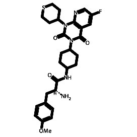 COc1ccc(C[C@@H](N)C(=O)NC2CCC(n3c(=O)c4cc(F)cnc4n(C4CCSCC4)c3=O)CC2)cc1